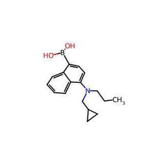 CCCN(CC1CC1)c1ccc(B(O)O)c2ccccc12